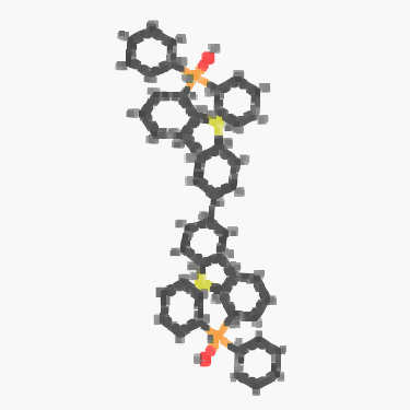 O=P(c1ccccc1)(c1ccccc1)c1cccc2c1sc1ccc(-c3ccc4sc5c(P(=O)(c6ccccc6)c6ccccc6)cccc5c4c3)cc12